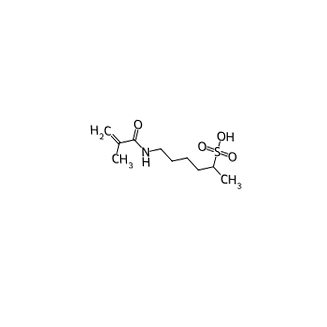 C=C(C)C(=O)NCCCCC(C)S(=O)(=O)O